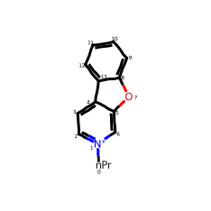 CCC[n+]1ccc2c(c1)oc1ccccc12